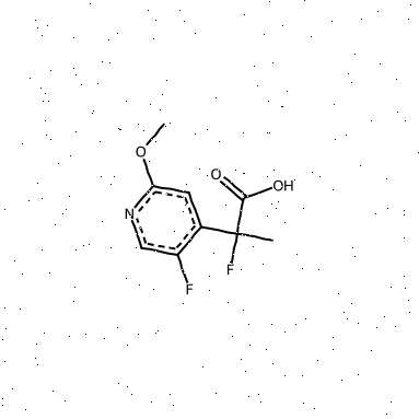 COc1cc(C(C)(F)C(=O)O)c(F)cn1